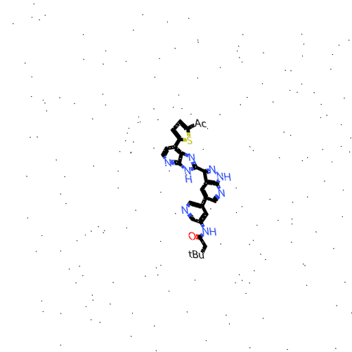 CC(=O)c1ccc(-c2ccnc3[nH]c(-c4n[nH]c5ncc(-c6cncc(NC(=O)CC(C)(C)C)c6)cc45)nc23)s1